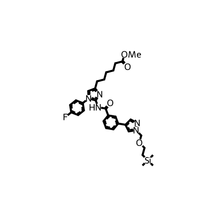 COC(=O)CCCCCc1cn(-c2ccc(F)cc2)c(NC(=O)c2cccc(-c3cnn(COCC[Si](C)(C)C)c3)c2)n1